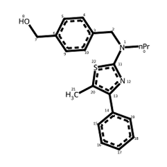 CCCN(Cc1ccc(CO)cc1)c1nc(-c2ccccc2)c(C)s1